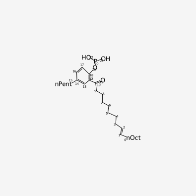 CCCCCCCCC=CCCCCCCCC(=O)c1cc(CCCCC)ccc1OP(O)O